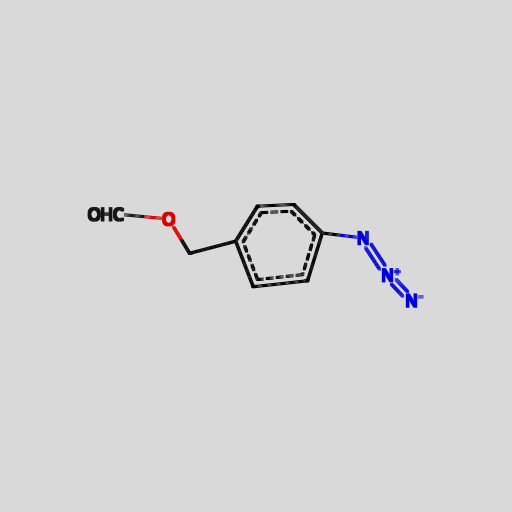 [N-]=[N+]=Nc1ccc(COC=O)cc1